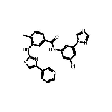 Cc1ccc(C(=O)Nc2cc(Cl)cc(-n3cncn3)c2)cc1Nc1nc(-c2cccnc2)cs1